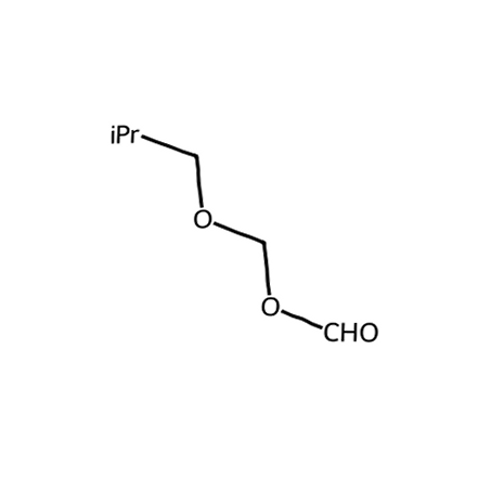 CC(C)COCOC=O